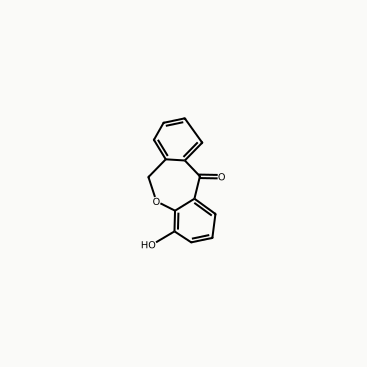 O=C1c2ccccc2COc2c(O)cccc21